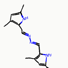 Cc1cc(C)c(C=NN=Cc2[nH]c(C)cc2C)[nH]1